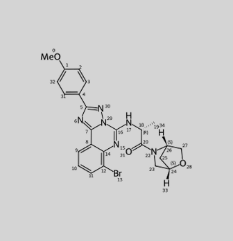 COc1ccc(-c2nc3c4cccc(Br)c4nc(N[C@H](C)C(=O)N4C[C@@H]5C[C@H]4CO5)n3n2)cc1